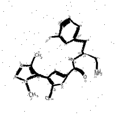 Cc1nnn(C)c1-c1cc(C(=O)N[C@H](CN)Cc2cccc(F)c2)sc1Cl